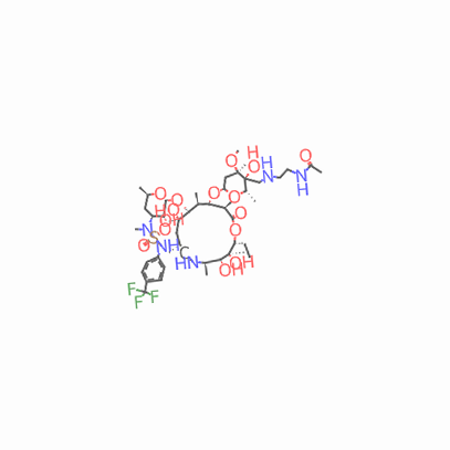 CC[C@H]1OC(=O)[C@H](C)[C@@H](O[C@H]2C[C@@](C)(OC)[C@](O)(CNCCNC(C)=O)[C@H](C)O2)[C@H](C)[C@@H](O[C@@H]2O[C@H](C)C[C@H](N(C)S(=O)(=O)Nc3ccc(C(F)(F)F)cc3)[C@H]2O)[C@](C)(O)C[C@@H](C)CN[C@H](C)[C@@H](O)[C@]1(C)O